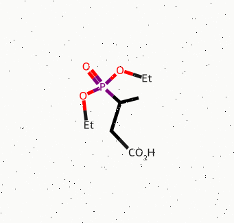 CCOP(=O)(OCC)C(C)CC(=O)O